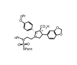 CCCCCS(=O)(=O)N(CCC)CCN1CC(c2ccc3c(c2)OCO3)[C@H](C(=O)O)[C@H]1c1ccc(OCCC)cc1